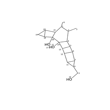 CC1C(C)C2C3C4C5C(CO)C5C4C3C2(O)C2(O)C3CC3C12